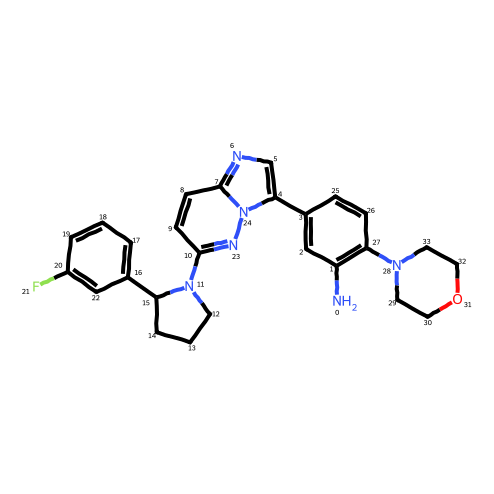 Nc1cc(-c2cnc3ccc(N4CCCC4c4cccc(F)c4)nn23)ccc1N1CCOCC1